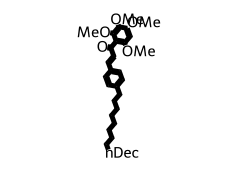 CCCCCCCCCCCCCCCCCCc1ccc(C=CC(=O)c2c(OC)cc(OC)c(OC)c2OC)cc1